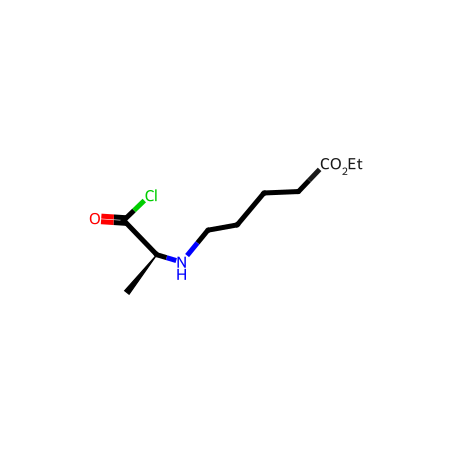 CCOC(=O)CCCCN[C@@H](C)C(=O)Cl